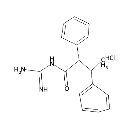 CC(c1ccccc1)C(C(=O)NC(=N)N)c1ccccc1.Cl